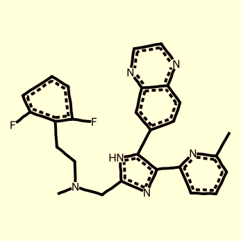 Cc1cccc(-c2nc(CN(C)CCc3c(F)cccc3F)[nH]c2-c2ccc3nccnc3c2)n1